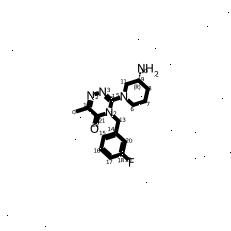 Cc1nnc(N2CCC[C@@H](N)C2)n(Cc2cccc(F)c2)c1=O